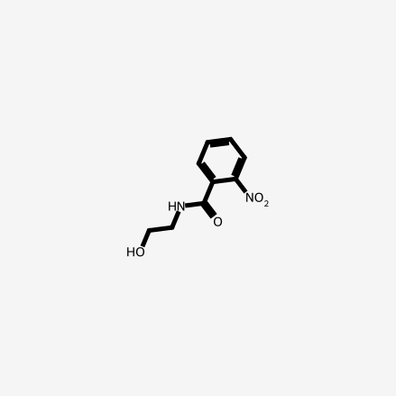 O=C(NCCO)c1ccccc1[N+](=O)[O-]